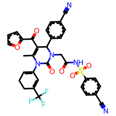 CC1=C(C(=O)c2ccco2)C(c2ccc(C#N)cc2)N(CC(=O)NS(=O)(=O)c2ccc(C#N)cc2)C(=O)N1C1=CCCC(C(F)(F)F)=C1